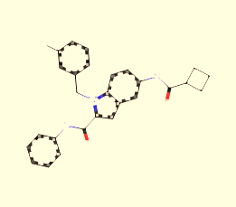 Cc1cccc(Cn2c(C(=O)Nc3ccccc3)cc3cc(NC(=O)C4CCC4)ccc32)c1